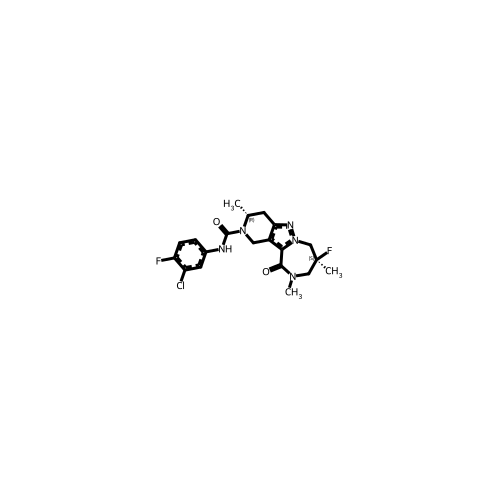 C[C@@H]1Cc2nn3c(c2CN1C(=O)Nc1ccc(F)c(Cl)c1)C(=O)N(C)C[C@](C)(F)C3